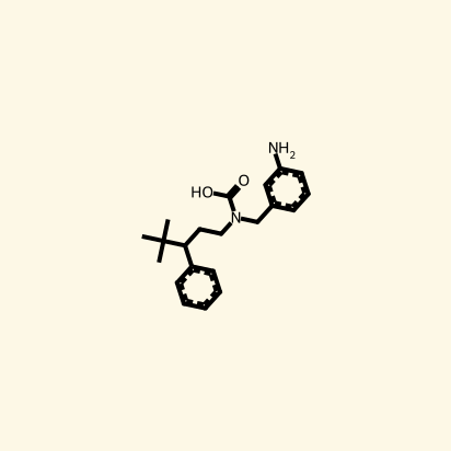 CC(C)(C)C(CCN(Cc1cccc(N)c1)C(=O)O)c1ccccc1